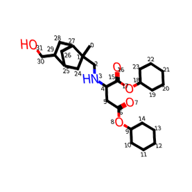 CC1(CNC(CC(=O)OC2CCCCC2)C(=O)OC2CCCCC2)CC2CC1CC2CO